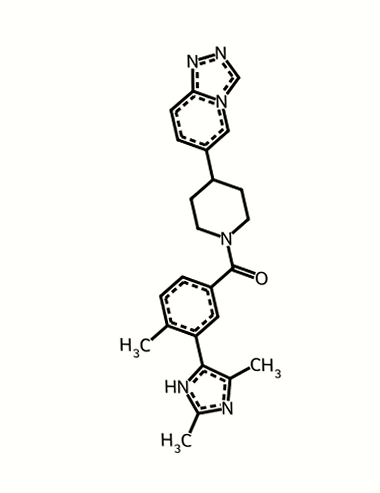 Cc1nc(C)c(-c2cc(C(=O)N3CCC(c4ccc5nncn5c4)CC3)ccc2C)[nH]1